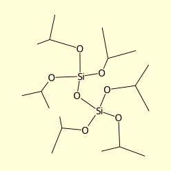 CC(C)O[Si](OC(C)C)(OC(C)C)O[Si](OC(C)C)(OC(C)C)OC(C)C